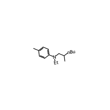 CCCCC(C)CN(CC)c1ccc(C)cc1